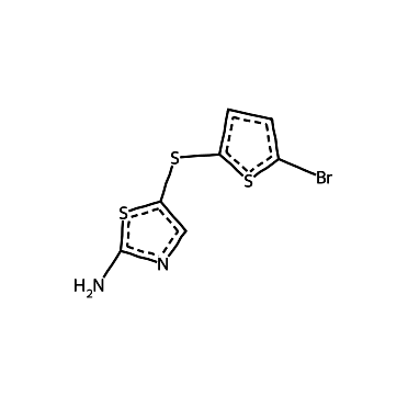 Nc1ncc(Sc2ccc(Br)s2)s1